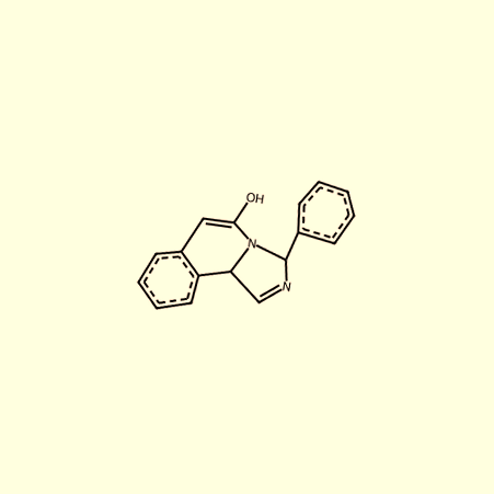 OC1=Cc2ccccc2C2C=NC(c3ccccc3)N12